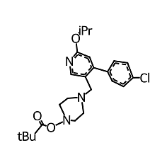 CC(C)Oc1cc(-c2ccc(Cl)cc2)c(CN2CCN(OC(=O)C(C)(C)C)CC2)cn1